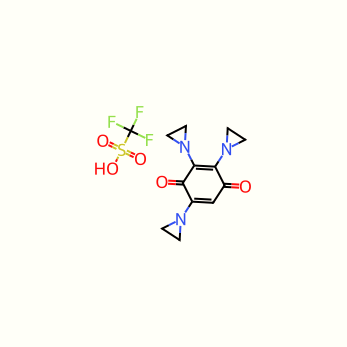 O=C1C=C(N2CC2)C(=O)C(N2CC2)=C1N1CC1.O=S(=O)(O)C(F)(F)F